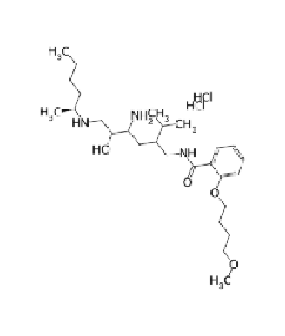 CCCC[C@H](C)NCC(O)C(N)CC(CNC(=O)c1ccccc1OCCCCOC)C(C)C.Cl.Cl